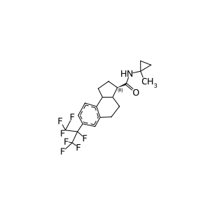 CC1(NC(=O)[C@@H]2CCC3c4ccc(C(F)(C(F)(F)F)C(F)(F)F)cc4CCC32)CC1